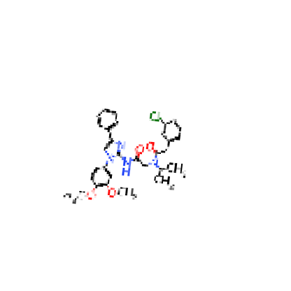 COc1ccc(-n2cc(-c3ccccc3)nc2NC(=O)CN(C(=O)Cc2cccc(Cl)c2)C(C)C)cc1OC